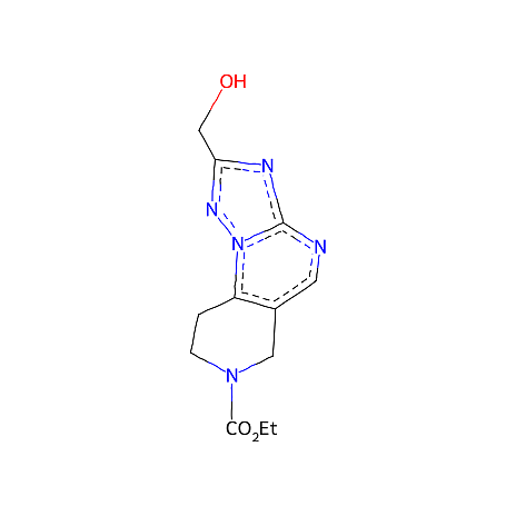 CCOC(=O)N1CCc2c(cnc3nc(CO)nn23)C1